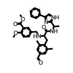 COC(=O)c1cc(CNC(Cc2c(C)cc(C=O)cc2C)C(=O)NC(C)c2nc(-c3ccccc3)c[nH]2)ccc1OC